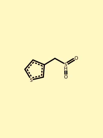 O=[SH](=O)Cc1ccsc1